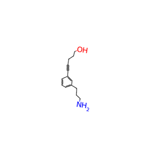 NCCCc1cccc(C#CCCCO)c1